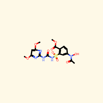 COC(=O)c1ccc(N(O)C(C)=O)cc1S(=O)(=O)NC(=O)Nc1nc(OC)cc(OC)n1